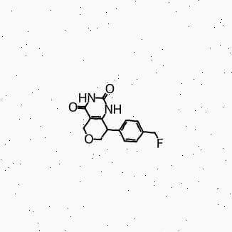 O=c1[nH]c2c(c(=O)[nH]1)COCC2c1ccc(CF)cc1